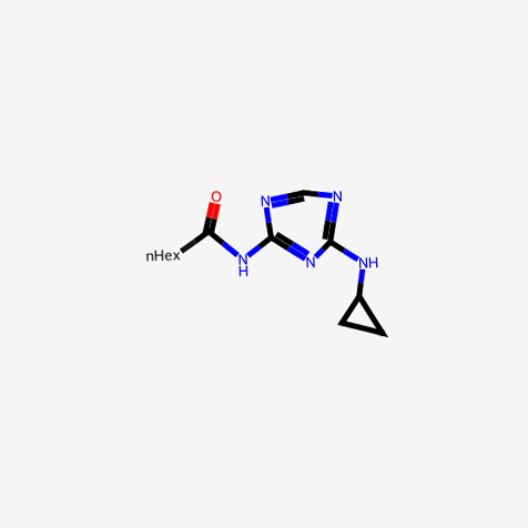 CCCCCCC(=O)Nc1ncnc(NC2CC2)n1